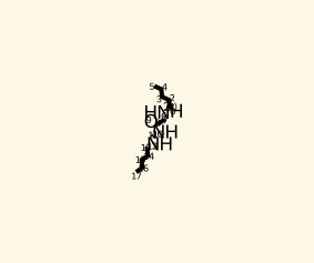 [2H][C@H](CCCC)NCC(=O)NCNCCCCC